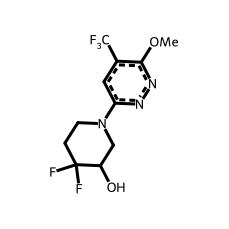 COc1nnc(N2CCC(F)(F)C(O)C2)cc1C(F)(F)F